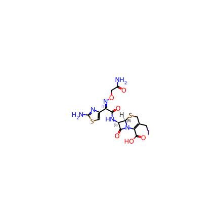 NC(=O)CO/N=C(\C(=O)N[C@@H]1C(=O)N2C(C(=O)O)=C(CI)CS[C@H]12)c1csc(N)n1